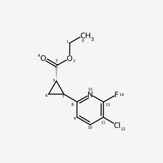 CCOC(=O)[C@H]1CC1c1ccc(Cl)c(F)n1